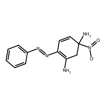 NC1=C(N=Nc2ccccc2)C=CC(N)([N+](=O)[O-])C1